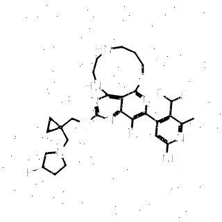 Cc1nc(N)cc(-c2nc3c4c(nc(OCC5(CN6CC[C@@H](F)C6)CC5)nc4c2F)NCCNCC[C@H](C)O3)c1C(F)F